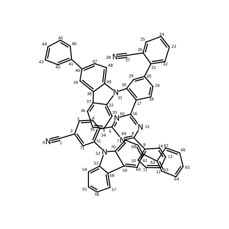 N#Cc1ccc(-c2nc(-c3ccccc3)nc(-c3ccc(-c4ccccc4C#N)cc3-n3c4ccccc4c4cc(-c5ccccc5)ccc43)n2)c(-n2c3ccccc3c3cc(-c4ccccc4)ccc32)c1